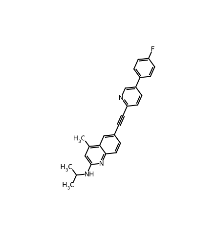 Cc1cc(NC(C)C)nc2ccc(C#Cc3ccc(-c4ccc(F)cc4)cn3)cc12